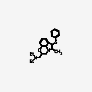 CCN(CC)CC1Cn2c(C)c(Sc3ccccc3)c3cccc(c32)O1